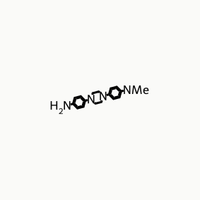 CNc1ccc(N2CCN(c3ccc(N)cc3)CC2)cc1